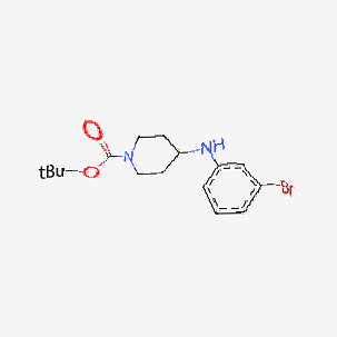 CC(C)(C)OC(=O)N1CCC(Nc2cccc(Br)c2)CC1